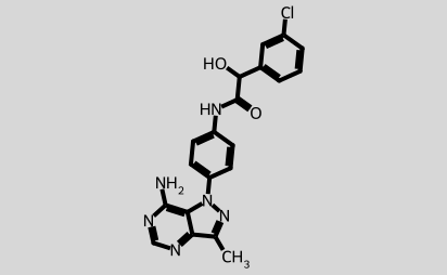 Cc1nn(-c2ccc(NC(=O)C(O)c3cccc(Cl)c3)cc2)c2c(N)ncnc12